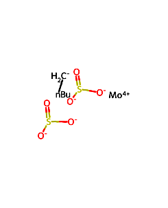 O=S([O-])[O-].O=S([O-])[O-].[CH2-]CCC[CH2-].[Mo+4]